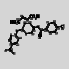 CN(C)c1ccc(CC2CCN(CC(=O)c3ccc(Cl)cc3)CC2)cc1.O=C(O)C=CC(=O)O